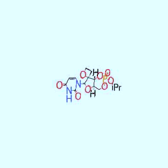 CC(C)O[P@@]1(=O)OC[C@H]2OC(n3ccc(=O)[nH]c3=O)[C@@]3(CCO3)[C@@H]2O1